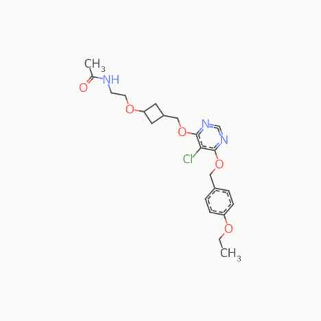 CCOc1ccc(COc2ncnc(OCC3CC(OCCNC(C)=O)C3)c2Cl)cc1